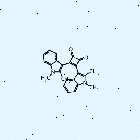 Cc1c(-c2c(-c3c(C)n(C)c4ccccc34)c(=O)c2=O)c2ccccc2n1C